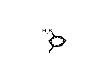 Bc1cccc(I)c1